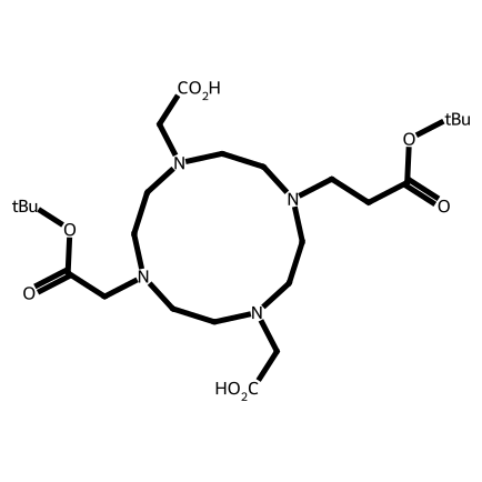 CC(C)(C)OC(=O)CCN1CCN(CC(=O)O)CCN(CC(=O)OC(C)(C)C)CCN(CC(=O)O)CC1